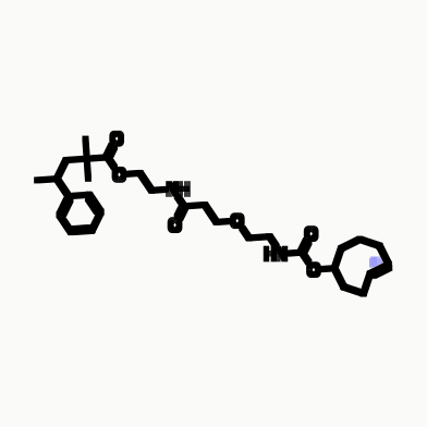 CC(CC(C)(C)C(=O)OCCNC(=O)CCOCCNC(=O)OC1CC/C=C/CCC1)c1ccccc1